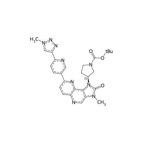 Cn1cc(-c2ccc(-c3ccc4ncc5c(c4n3)n([C@H]3CCN(C(=O)OC(C)(C)C)C3)c(=O)n5C)cn2)nn1